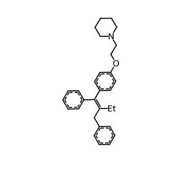 CCC(Cc1ccccc1)=C(c1ccccc1)c1ccc(OCCN2CCCCC2)cc1